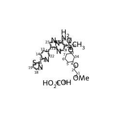 COCCO[C@H]1CC[C@H](c2nc3c(-c4ccc(-c5nccs5)nc4)cnn3c(N)c2S(C)(=O)=O)CC1.O=C(O)O